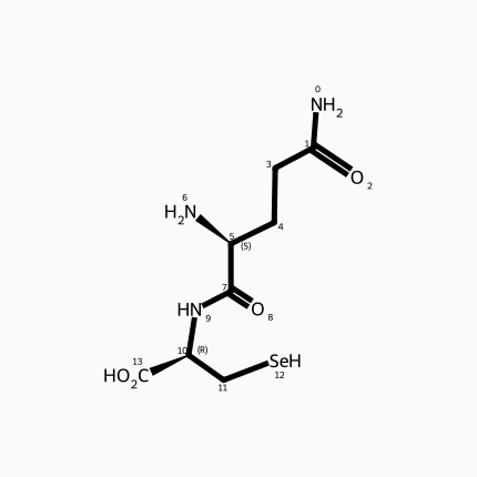 NC(=O)CC[C@H](N)C(=O)N[C@@H](C[SeH])C(=O)O